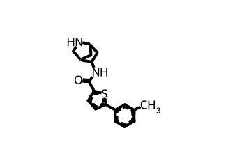 Cc1cccc(-c2ccc(C(=O)NC3CC4CC3CN4)s2)c1